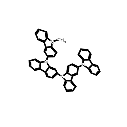 Cn1c2ccccc2c2cc(-n3c4ccccc4c4ccc(-n5c6ccccc6c6cc(-n7c8ccccc8c8ccccc87)ccc65)cc43)ccc21